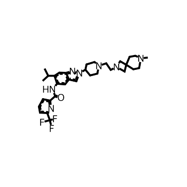 CC(C)c1cc2nn(C3CCN(CCN4CC5(CCN(C)CC5)C4)CC3)cc2cc1NC(=O)c1cccc(C(F)(F)F)n1